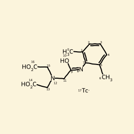 Cc1cccc(C)c1N=C(O)CN(CC(=O)O)CC(=O)O.[Tc]